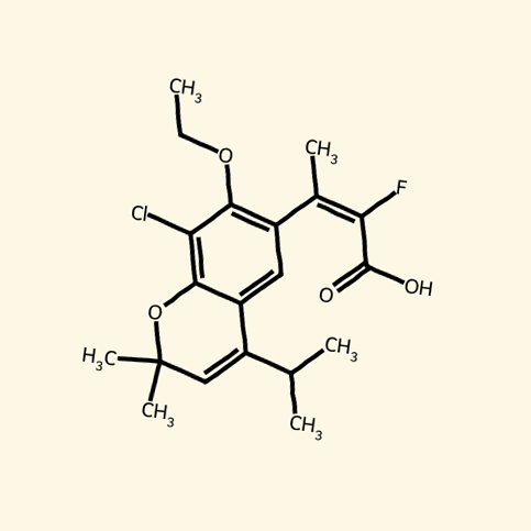 CCOc1c(/C(C)=C(/F)C(=O)O)cc2c(c1Cl)OC(C)(C)C=C2C(C)C